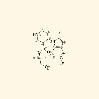 Cc1nc2cc(F)ccc2n1C1CCNCC1C(=O)OC(C)(C)CO